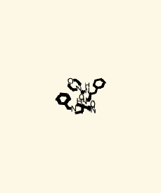 N#CC1(NC(=O)C(CC2CCCCC2)NC(=O)N2CCOCC2)CCN(Cc2ccccc2)C1